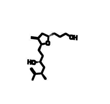 C=C(C)[C@H](C)C[C@H](O)CC[C@@H]1O[C@@H](CCCO)CC1=C